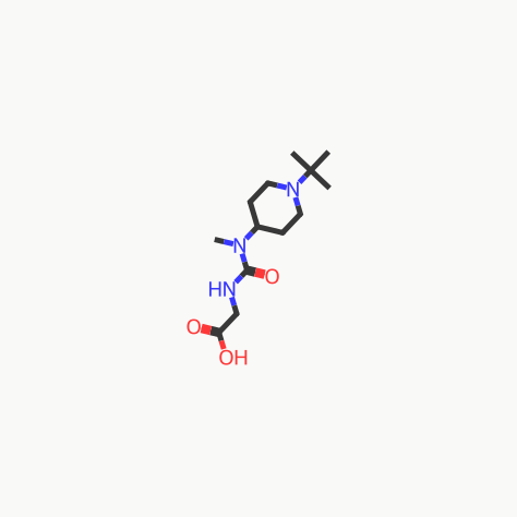 CN(C(=O)NCC(=O)O)C1CCN(C(C)(C)C)CC1